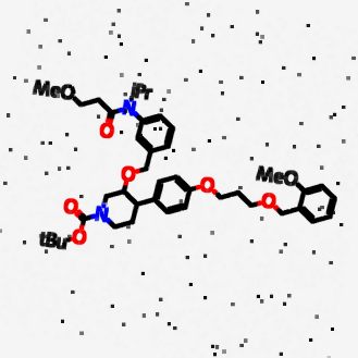 COCCC(=O)N(c1cccc(COC2CN(C(=O)OC(C)(C)C)CCC2c2ccc(OCCCOCc3ccccc3OC)cc2)c1)C(C)C